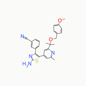 COc1ccc(COC(C)(C)c2cc(-c3sc(N)nc3-c3cccc(C#N)c3)cc(C)n2)cc1